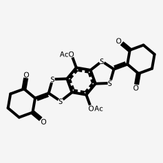 CC(=O)Oc1c2c(c(OC(C)=O)c3c1SC(=C1C(=O)CCCC1=O)S3)SC(=C1C(=O)CCCC1=O)S2